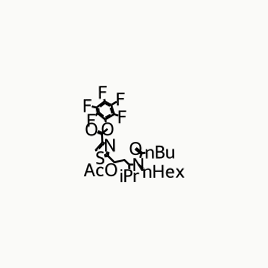 CCCCCCN(C(=O)CCCC)C(CC(OC(C)=O)c1nc(C(=O)Oc2c(F)c(F)c(F)c(F)c2F)cs1)C(C)C